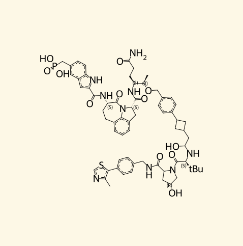 Cc1ncsc1-c1ccc(CNC(=O)C2C[C@@H](O)CN2C(=O)[C@@H](NC(O)CC2CC(c3ccc(CO[C@H](C)[C@H](CCC(N)=O)NC(=O)[C@@H]4Cc5cccc6c5N4C(=O)[C@@H](NC(=O)c4cc5cc(CP(=O)(O)O)ccc5[nH]4)CC6)cc3)C2)C(C)(C)C)cc1